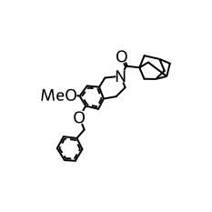 COc1cc2c(cc1OCc1ccccc1)CCN(C(=O)C13CC4CC(C1)C(C4)C3)C2